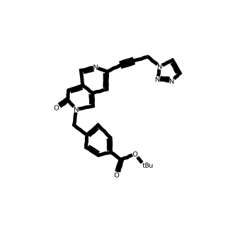 CC(C)(C)OC(=O)c1ccc(Cn2cc3cc(C#CCn4ccnn4)ncc3cc2=O)cc1